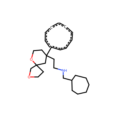 c1ccccc(C2(CCNCC3CCCCCC3)CCOC3(CCOC3)C2)cccc1